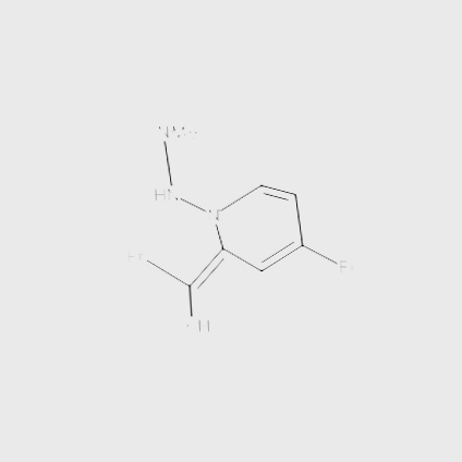 CCC1=C/C(=C(\C)CC)N(NNC)C=C1